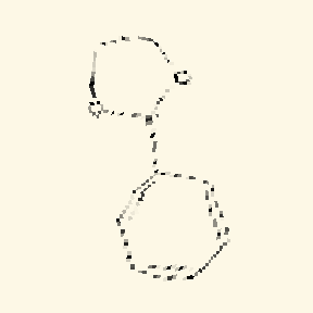 c1ccc([C]2OCCO2)cc1